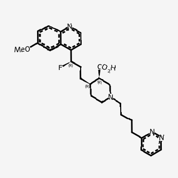 COc1ccc2nccc([C@H](F)CC[C@@H]3CCN(CCCCc4cccnn4)C[C@@H]3C(=O)O)c2c1